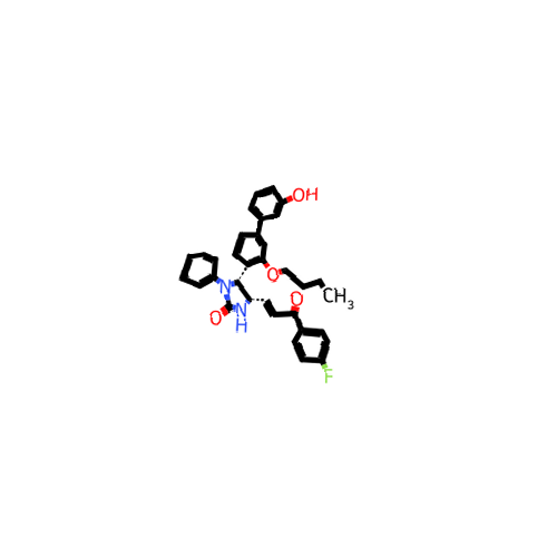 CCCCOc1cc(-c2cccc(O)c2)ccc1[C@@H]1[C@H](/C=C/C(=O)c2ccc(F)cc2)NC(=O)N1c1ccccc1